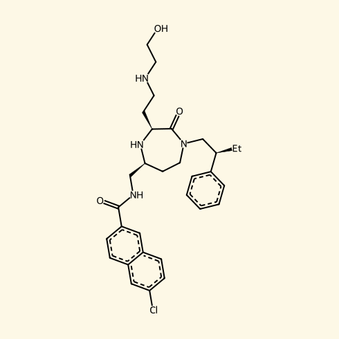 CC[C@H](CN1CC[C@@H](CNC(=O)c2ccc3cc(Cl)ccc3c2)N[C@@H](CCNCCO)C1=O)c1ccccc1